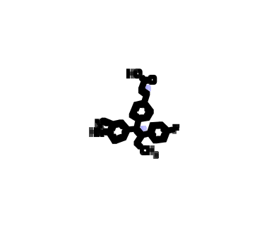 CC/C(=C(/c1ccc(/C=C/C(=O)O)cc1)c1ccc2[nH]ncc2c1)c1ccc(F)cc1